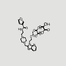 CCOCCn1c(CN2CCN(CCNC(=O)c3ccoc3)CC2)nc2cccnc21.O=C(O)C(=O)O.O=C(O)C(=O)O